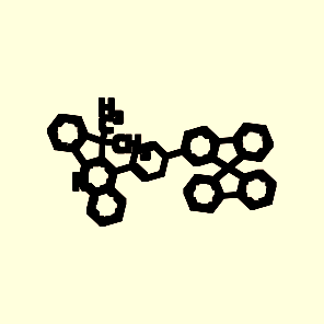 CC1(C)c2ccccc2-c2nc3ccccc3c(C3=CCC(c4ccc5c(c4)C4(c6ccccc6-c6ccccc64)c4ccccc4-5)C=C3)c21